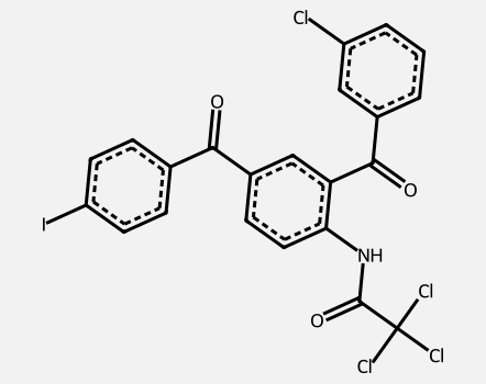 O=C(c1ccc(I)cc1)c1ccc(NC(=O)C(Cl)(Cl)Cl)c(C(=O)c2cccc(Cl)c2)c1